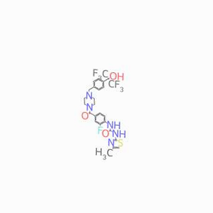 Cc1csc(NC(=O)Nc2ccc(C(=O)N3CCN(Cc4ccc(C(O)(C(F)(F)F)C(F)(F)F)cc4)CC3)cc2F)n1